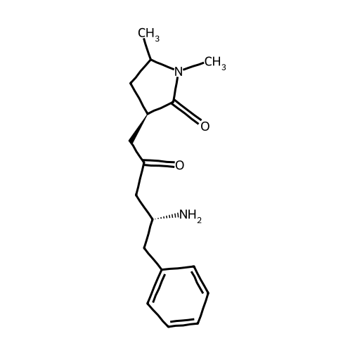 CC1C[C@H](CC(=O)C[C@H](N)Cc2ccccc2)C(=O)N1C